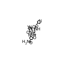 CCn1nc(C)cc1C(=O)Nc1nc2cc(C(N)=O)cc3c2n1[C@]1(CCCNC(=O)OCc2ccncc2)CC1O3